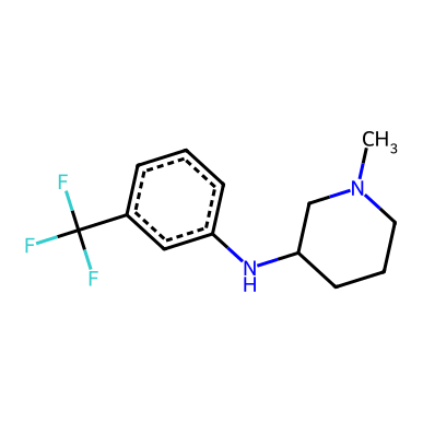 CN1CCCC(Nc2cccc(C(F)(F)F)c2)C1